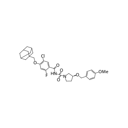 COc1ccc(CO[C@H]2CCN(S(=O)(=O)NC(=O)c3cc(Cl)c(OCC45CC6CC(CC(C6)C4)C5)cc3F)C2)cc1